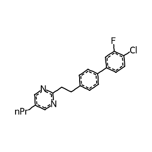 CCCc1cnc(CCc2ccc(-c3ccc(Cl)c(F)c3)cc2)nc1